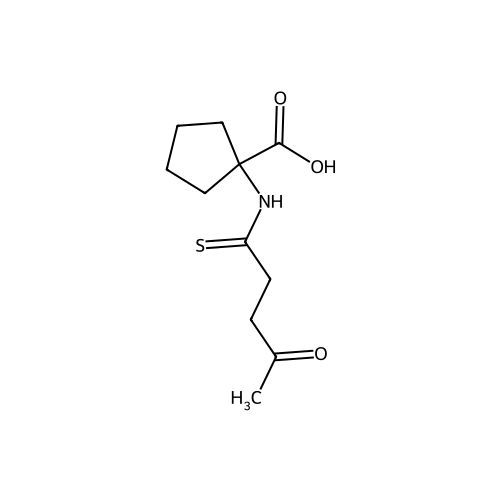 CC(=O)CCC(=S)NC1(C(=O)O)CCCC1